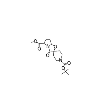 COC(=O)C1CCC2OC3(CCN(C(=O)OC(C)(C)C)CC3)C(=O)N21